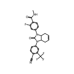 CNC(=O)c1ccc(N2C(=O)N(c3ccc(C#N)c(C(F)(F)F)c3)C3CC=CCC32)cc1F